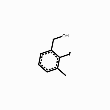 Cc1cccc([CH]O)c1F